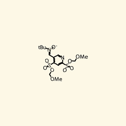 COCOS(=O)(=O)c1cc(S(=O)(=O)OCOC)c(C=[N+]([O-])C(C)(C)C)cn1